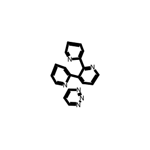 c1ccc(-c2cccnc2-c2ccccn2)nc1.c1cnnnc1